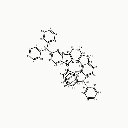 c1ccc(N(c2ccccc2)c2ccc3c(c2)c2ccc4sc5ccc6c(c7ccccc7n6-c6ccccc6)c5c4c2n3-c2ccccc2)cc1